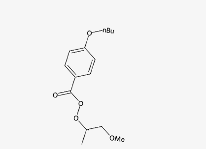 CCCCOc1ccc(C(=O)OO[C](C)COC)cc1